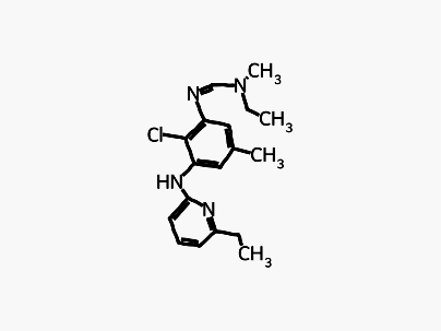 CCc1cccc(Nc2cc(C)cc(/N=C\N(C)CC)c2Cl)n1